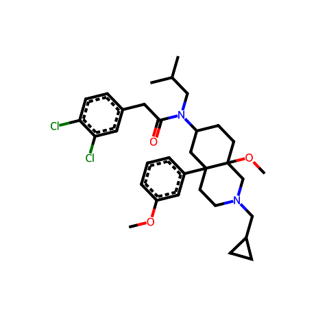 COc1cccc(C23CCN(CC4CC4)CC2(OC)CCC(N(CC(C)C)C(=O)Cc2ccc(Cl)c(Cl)c2)C3)c1